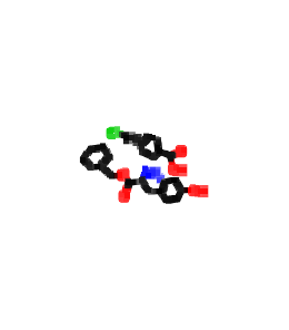 N[C@@H](Cc1ccc(O)cc1)C(=O)OCc1ccccc1.O=C(O)c1cc[c]([Hg][Cl])cc1